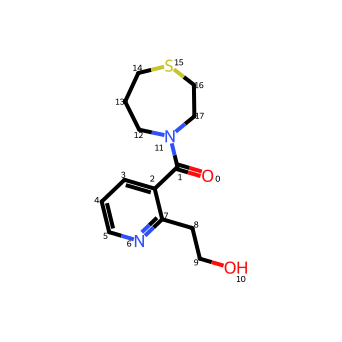 O=C(c1cccnc1CCO)N1CCCSCC1